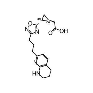 O=C(O)C[C@@H]1C[C@H]1c1nc(CCCc2ccc3c(n2)NCCC3)no1